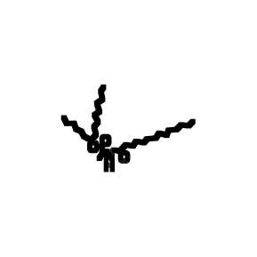 CCCCCCCCCCCCCC(=O)CNC(C)C(=O)OC(CCCCCC)CCCCCCCCC